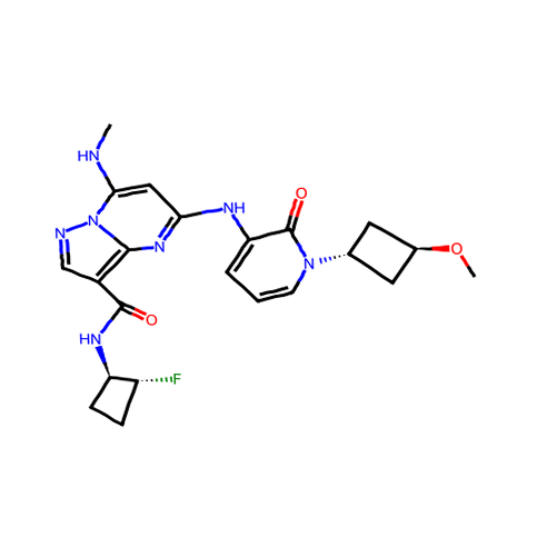 CNc1cc(Nc2cccn([C@H]3C[C@H](OC)C3)c2=O)nc2c(C(=O)N[C@@H]3CC[C@H]3F)cnn12